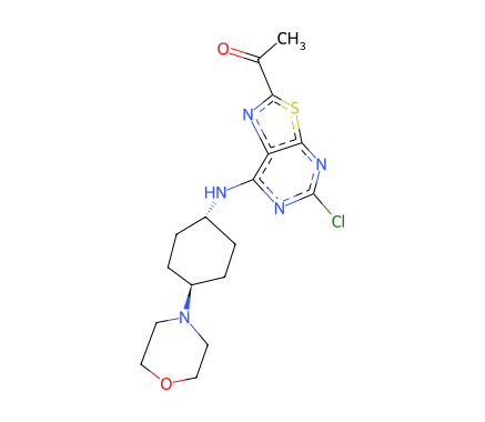 CC(=O)c1nc2c(N[C@H]3CC[C@H](N4CCOCC4)CC3)nc(Cl)nc2s1